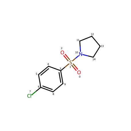 O=S(=O)(c1ccc(Cl)cc1)N1CCCC1